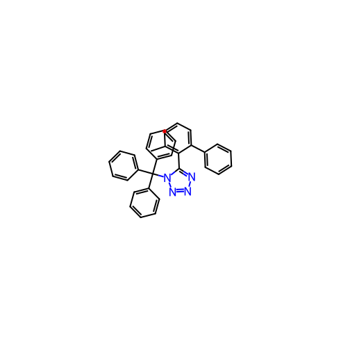 Cc1cccc(-c2ccccc2)c1-c1nnnn1C(c1ccccc1)(c1ccccc1)c1ccccc1